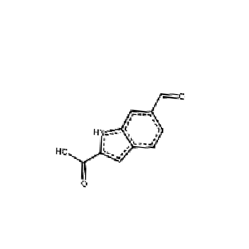 O=Cc1ccc2cc(C(=O)O)[nH]c2c1